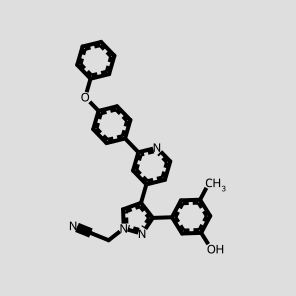 Cc1cc(O)cc(-c2nn(CC#N)cc2-c2ccnc(-c3ccc(Oc4ccccc4)cc3)c2)c1